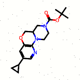 CC(C)(C)OC(=O)N1CCN2c3ncc(C4CC4)cc3OCC2C1